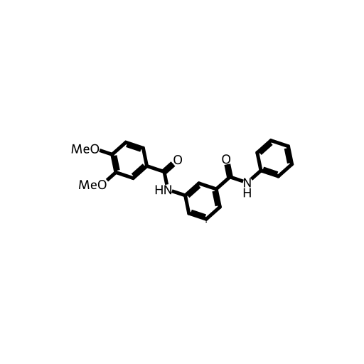 COc1ccc(C(=O)Nc2c[c]cc(C(=O)Nc3ccccc3)c2)cc1OC